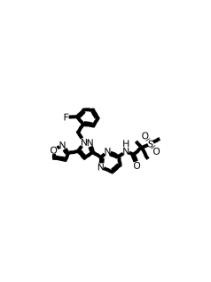 CC(C)(C(=O)Nc1ccnc(-c2cc(-c3ccon3)n(Cc3ccccc3F)n2)n1)S(C)(=O)=O